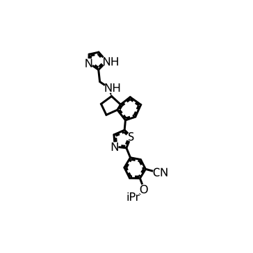 CC(C)Oc1ccc(-c2ncc(-c3cccc4c3CC[C@@H]4NCc3ncc[nH]3)s2)cc1C#N